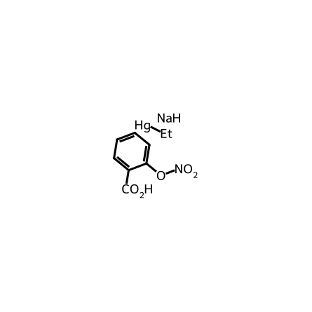 C[CH2][Hg].O=C(O)c1ccccc1O[N+](=O)[O-].[NaH]